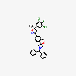 Fc1c(Cl)cc([C@@]2(C(F)(F)F)CC(c3ccc4c(c3)COC43CN(C(c4ccccc4)c4ccccc4)C3)=NO2)cc1Cl